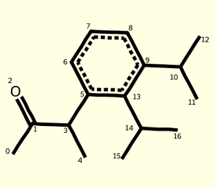 CC(=O)C(C)c1cccc(C(C)C)c1C(C)C